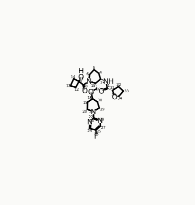 O=C(N[C@H]1CCCN(C(=O)C2(O)CCC2)[C@H]1COC1CCN(c2ncc(F)cn2)CC1)[C@@H]1CCCO1